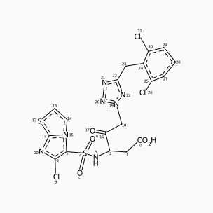 O=C(O)CC(NS(=O)(=O)c1c(Cl)nc2sccn12)C(=O)Cn1nnc(Cc2c(Cl)cccc2Cl)n1